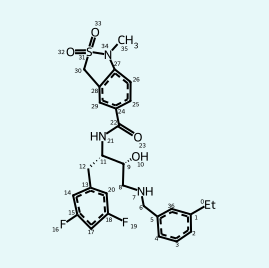 CCc1cccc(CNC[C@@H](O)[C@H](Cc2cc(F)cc(F)c2)NC(=O)c2ccc3c(c2)CS(=O)(=O)N3C)c1